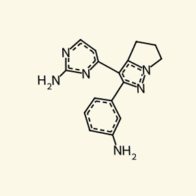 Nc1cccc(-c2nn3c(c2-c2ccnc(N)n2)CCC3)c1